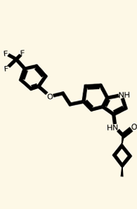 C[C@H]1C[C@@H](C(=O)Nc2c[nH]c3ccc(CCOc4ccc(C(F)(F)F)cc4)cc23)C1